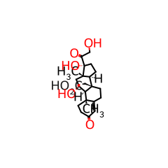 C[C@]12CCC(=O)C=C1CC[C@]1(CC(=O)O)[C@@H]2[C@@H](O)C[C@@]2(C)[C@H]1CC[C@]2(O)C(=O)CO